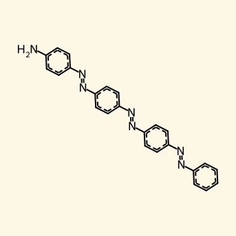 Nc1ccc(N=Nc2ccc(N=Nc3ccc(N=Nc4ccccc4)cc3)cc2)cc1